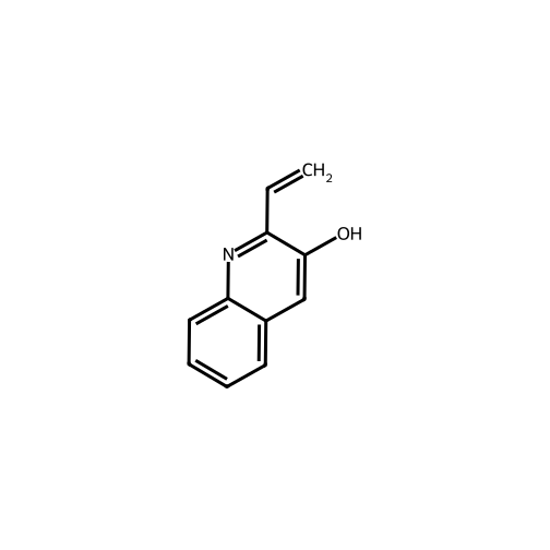 C=Cc1nc2ccccc2cc1O